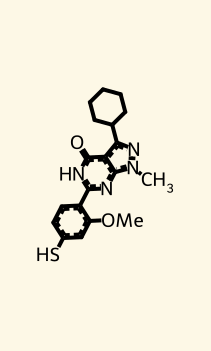 COc1cc(S)ccc1-c1nc2c(c(C3CCCCC3)nn2C)c(=O)[nH]1